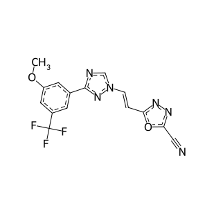 COc1cc(-c2ncn(C=Cc3nnc(C#N)o3)n2)cc(C(F)(F)F)c1